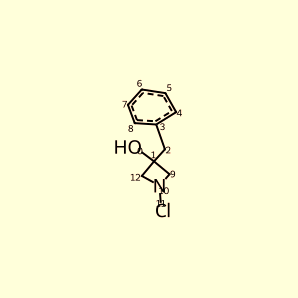 OC1(Cc2ccccc2)CN(Cl)C1